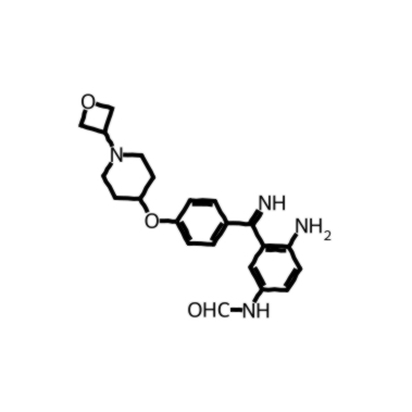 N=C(c1ccc(OC2CCN(C3COC3)CC2)cc1)c1cc(NC=O)ccc1N